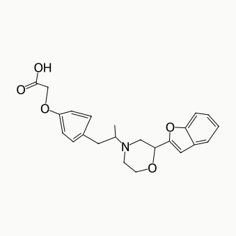 CC(Cc1ccc(OCC(=O)O)cc1)N1CCOC(c2cc3ccccc3o2)C1